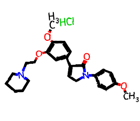 COc1ccc(N2CC=C(c3ccc(OC)c(OCCN4CCCCC4)c3)C2=O)cc1.Cl